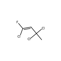 CC(Cl)(Cl)C=C(F)Cl